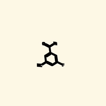 CCC(=O)c1cc(F)cc(C#N)c1